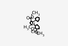 CCOC(=O)c1cc(C)n(-c2cccc(OC)c2OC)c1-c1ccccc1